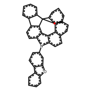 c1ccc(C23c4ccccc4-c4ccc5c(c42)c2c4c3cccc4ccc2n5-c2ccc3c(c2)oc2ccccc23)cc1